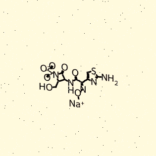 CON=C(C(=O)NC1C(=O)N(S(=O)(=O)[O-])C1CO)c1csc(N)n1.[Na+]